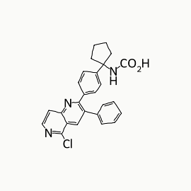 O=C(O)NC1(c2ccc(-c3nc4ccnc(Cl)c4cc3-c3ccccc3)cc2)CCCC1